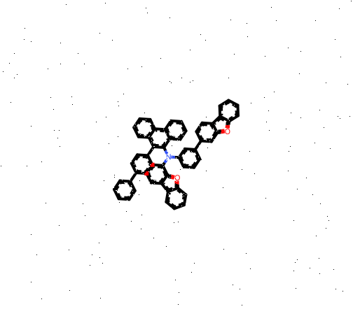 c1ccc(-c2ccc(-c3c(N(c4cccc(-c5ccc6c(c5)oc5ccccc56)c4)c4cccc5c4oc4ccccc45)c4ccccc4c4ccccc34)cc2)cc1